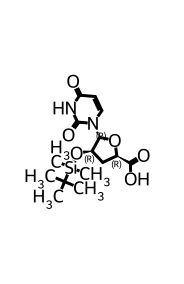 CC(C)(C)[Si](C)(C)O[C@@H]1C[C@H](C(=O)O)O[C@H]1n1ccc(=O)[nH]c1=O